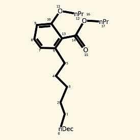 CCCCCCCCCCCCCCCc1cccc(OCCC)c1C(=O)OCCC